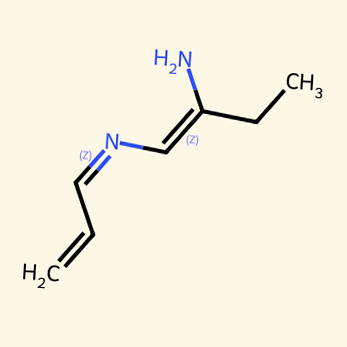 C=C/C=N\C=C(/N)CC